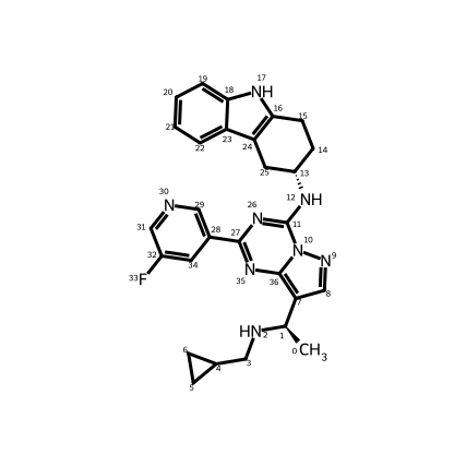 C[C@@H](NCC1CC1)c1cnn2c(N[C@H]3CCc4[nH]c5ccccc5c4C3)nc(-c3cncc(F)c3)nc12